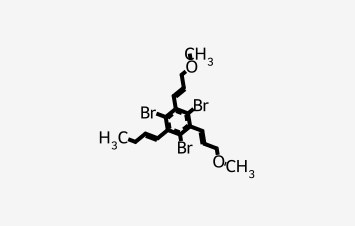 CC/C=C/c1c(Br)c(/C=C/COC)c(Br)c(/C=C/COC)c1Br